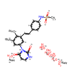 COc1c(/C=C/c2ccc(NS(C)(=O)=O)cc2)cc(-n2c(=O)cc[nH]c2=O)cc1C(C)(C)C.O.O.O.O.O.O.O.O.O.[NaH].[NaH]